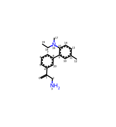 C=C(CN)c1cccc(-c2cc(C)ccc2N(C)CC)c1